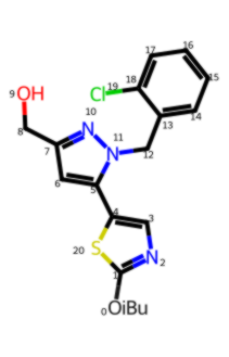 CC(C)COc1ncc(-c2cc(CO)nn2Cc2ccccc2Cl)s1